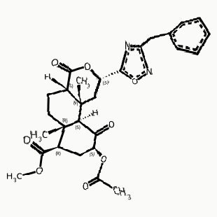 COC(=O)[C@@H]1C[C@H](OC(C)=O)C(=O)[C@@H]2[C@@]3(C)C[C@@H](c4nc(Cc5ccccc5)no4)OC(=O)[C@H]3CC[C@]21C